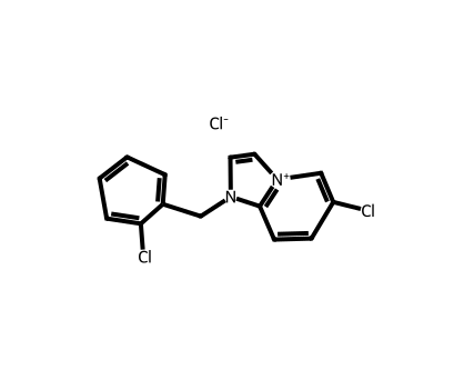 Clc1ccc2n(Cc3ccccc3Cl)cc[n+]2c1.[Cl-]